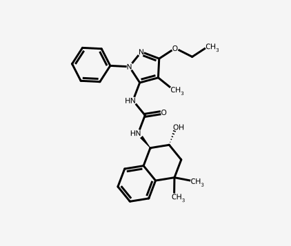 CCOc1nn(-c2ccccc2)c(NC(=O)N[C@@H]2c3ccccc3C(C)(C)C[C@H]2O)c1C